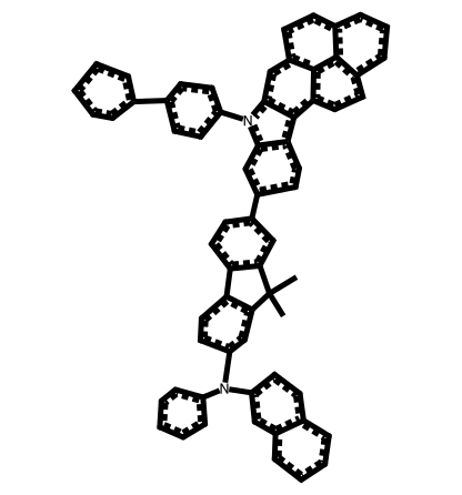 CC1(C)c2cc(-c3ccc4c5c6ccc7cccc8ccc(cc5n(-c5ccc(-c9ccccc9)cc5)c4c3)c6c87)ccc2-c2ccc(N(c3ccccc3)c3ccc4ccccc4c3)cc21